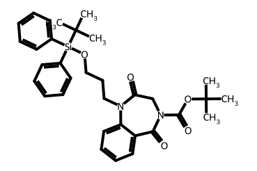 CC(C)(C)OC(=O)N1CC(=O)N(CCCO[Si](c2ccccc2)(c2ccccc2)C(C)(C)C)c2ccccc2C1=O